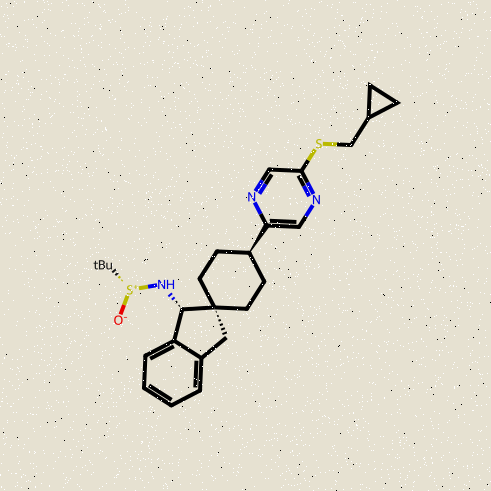 CC(C)(C)[S@@+]([O-])N[C@H]1c2ccccc2C[C@]12CC[C@H](c1cnc(SCC3CC3)cn1)CC2